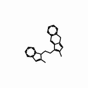 CC1=Cc2ccccc2C1CCC1=C(C)C=C2Cc3ccccc3C=C21